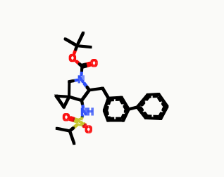 CC(C)S(=O)(=O)NC1C(Cc2cccc(-c3ccccc3)c2)N(C(=O)OC(C)(C)C)CC12CC2